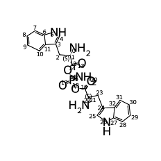 N[C@@H](Cc1c[nH]c2ccccc12)C(=O)OP(N)(=O)OC(=O)[C@@H](N)Cc1c[nH]c2ccccc12